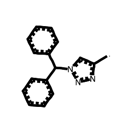 [CH2]c1cn(C(c2ccccc2)c2ccccc2)nn1